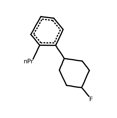 CCCc1ccccc1C1CCC(F)CC1